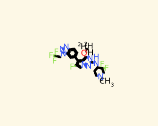 [2H]C([2H])([2H])Oc1nc(N[C@@H]2CCN(C)CC2(F)F)nn2cc(F)c(-c3ccc4nnn(CC(F)(F)F)c4c3)c12